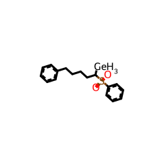 O=S(=O)(c1ccccc1)[CH]([GeH3])CCCCc1ccccc1